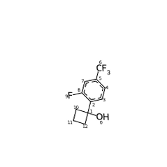 OC1(c2ccc(C(F)(F)F)cc2F)CCC1